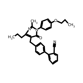 CCCOc1ccc(-n2c(C)nc(CCC)c(Cc3ccc(-c4ccccc4C#N)cc3)c2=O)cc1